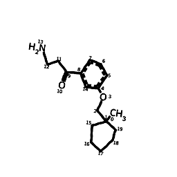 CC1(COc2cccc(C(=O)CCN)c2)CCCCC1